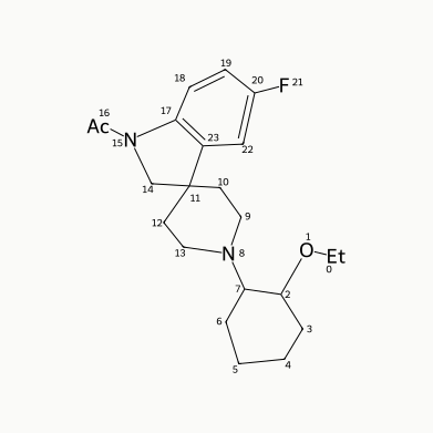 CCOC1CCCCC1N1CCC2(CC1)CN(C(C)=O)c1ccc(F)cc12